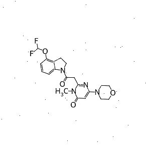 Cn1c(CC(=O)N2CCc3c(OC(F)F)cccc32)nc(N2CCOCC2)cc1=O